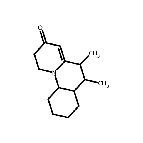 CC1C2=CC(=O)CCN2C2CCCCC2C1C